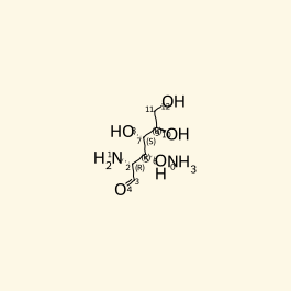 N.N[C@@H](C=O)[C@@H](O)[C@H](O)[C@H](O)CO